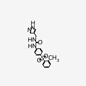 Cc1ccccc1S(=O)(=O)c1ccc(NC(=O)NCc2cn[nH]c2)cc1